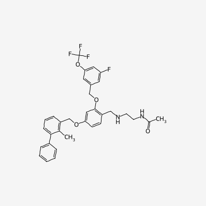 CC(=O)NCCNCc1ccc(OCc2cccc(-c3ccccc3)c2C)cc1OCc1cc(F)cc(OC(F)(F)F)c1